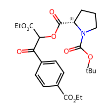 CCOC(=O)c1ccc(C(=O)C(OC(=O)[C@@H]2CCCN2C(=O)OC(C)(C)C)C(=O)OCC)cc1